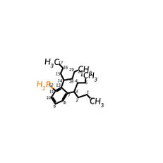 CCCC(CCC)c1cccc(P)c1C(CCC)CCC